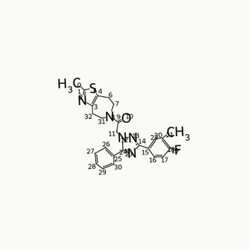 Cc1nc2c(s1)CCN(C(=O)Cn1nc(-c3ccc(F)c(C)c3)nc1-c1ccccc1)CC2